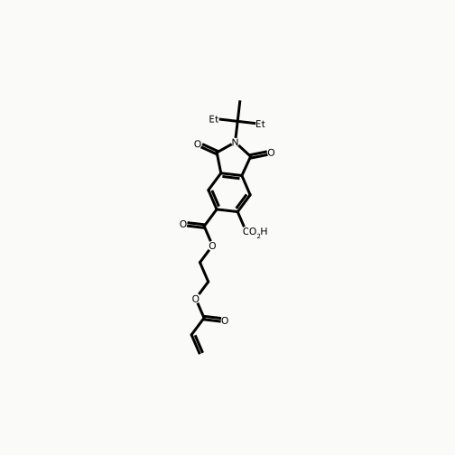 C=CC(=O)OCCOC(=O)c1cc2c(cc1C(=O)O)C(=O)N(C(C)(CC)CC)C2=O